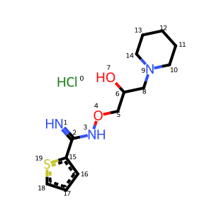 Cl.N=C(NOCC(O)CN1CCCCC1)c1cccs1